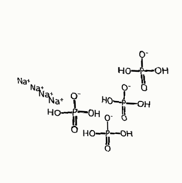 O=P([O-])(O)O.O=P([O-])(O)O.O=P([O-])(O)O.O=P([O-])(O)O.[Na+].[Na+].[Na+].[Na+]